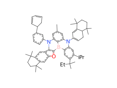 CCC(C)(C)c1cc2c(cc1C(C)C)N(C1=CCC3C(=C1)C(C)(C)CCC3(C)C)c1cc(C)cc3c1B2c1oc2cc4c(cc2c1N3c1cccc(C2C=CC=CC2)c1)C(C)(C)CCC4(C)C